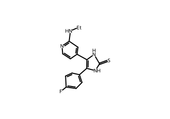 CCNc1cc(-c2[nH]c(=S)[nH]c2-c2ccc(F)cc2)ccn1